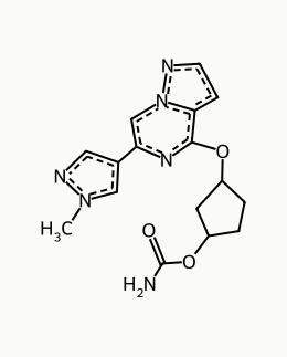 Cn1cc(-c2cn3nccc3c(OC3CCC(OC(N)=O)C3)n2)cn1